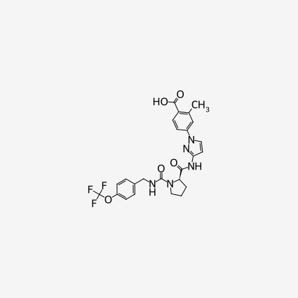 Cc1cc(-n2ccc(NC(=O)[C@H]3CCCN3C(=O)NCc3ccc(OC(F)(F)F)cc3)n2)ccc1C(=O)O